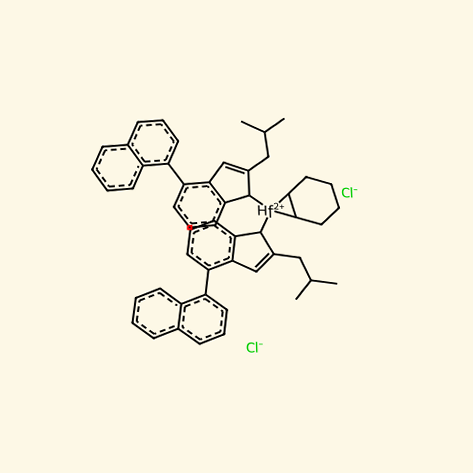 CC(C)CC1=Cc2c(-c3cccc4ccccc34)cccc2[CH]1[Hf+2]1([CH]2C(CC(C)C)=Cc3c(-c4cccc5ccccc45)cccc32)[CH]2CCCC[CH]21.[Cl-].[Cl-]